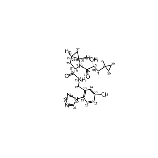 CC1(C[C@@H](O)C(=O)N2[C@H](C(=O)NCc3cc(Cl)ccc3-n3cnnn3)C[C@@H]3C[C@@H]32)CC1